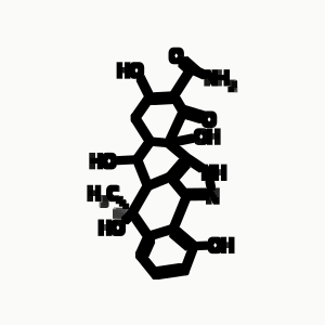 C[C@@]1(O)c2cccc(O)c2-c2n[nH]c3c2C1C(O)C1CC(O)=C(C(N)=O)C(=O)C31O